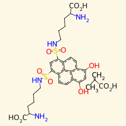 C=C(C)C(=O)O.NC(CCCCNS(=O)(=O)c1cc(S(=O)(=O)NCCCCC(N)C(=O)O)c2ccc3c(O)cc(O)c4ccc1c2c43)C(=O)O